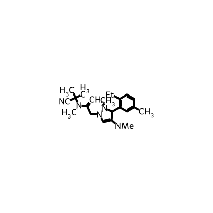 C=C(CN1C=C(NC)C(c2cc(C)ccc2CC)N1C)N(C)C(C)(C)C#N